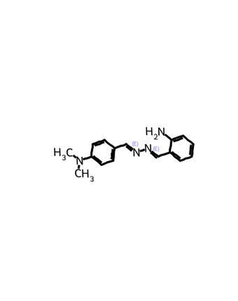 CN(C)c1ccc(/C=N/N=C/c2ccccc2N)cc1